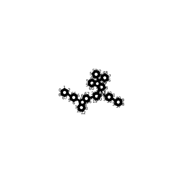 c1ccc(-c2ccc(C3c4ccccc4-c4cc(-c5ccc6c(c5)c5c7c(ccc5n6-c5ccc(-c6ccccc6)cc5)C(c5ccccc5)(c5ccccc5)c5ccccc5-7)ccc43)cc2)cc1